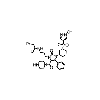 CC(C)CC(=O)NCCCn1c(C(=O)N2CCNCC2)c(-c2ccccc2)n(C2CCCN(S(=O)(=O)c3cnn(C)c3)C2)c1=O